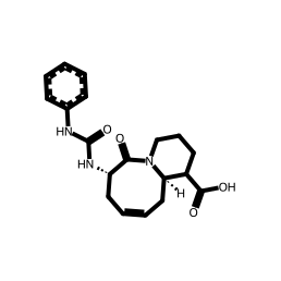 O=C(Nc1ccccc1)N[C@H]1CC=CC[C@@H]2C(C(=O)O)CCCN2C1=O